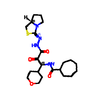 O=C(N/N=C1\SC[C@H]2CCCN12)C(=O)[C@@H](NC(=O)C1CCCCCC1)C1CCOCC1